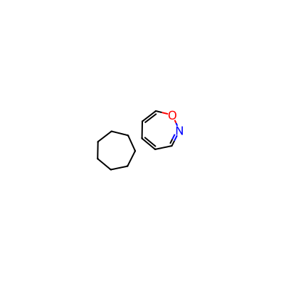 C1=CC=NOC=C1.C1CCCCCC1